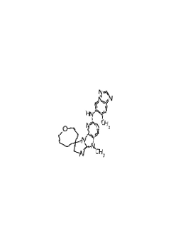 Cc1cc2ncnn2cc1Nc1ncc2c(n1)N1C(=NCC13CCCOCC3)N2C